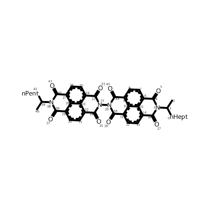 CCCCCCCC(C)N1C(=O)c2ccc3c4c(ccc(c24)C1=O)C(=O)N(N1C(=O)c2ccc4c5c(ccc(c25)C1=O)C(=O)N(C(C)CCCCC)C4=O)C3=O